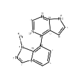 CC(C)n1ncc2cccc(-c3ncnc4[nH]ccc34)c21